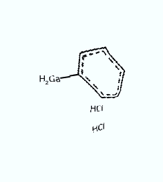 Cl.Cl.[GaH2][c]1ccccc1